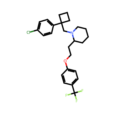 FC(F)(F)c1ccc(OCCC2CCCCN2CC2(c3ccc(Cl)cc3)CCC2)cc1